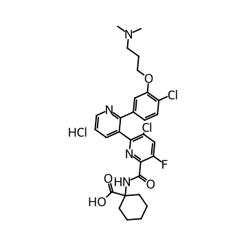 CN(C)CCCOc1cc(-c2ncccc2-c2nc(C(=O)NC3(C(=O)O)CCCCC3)c(F)cc2Cl)ccc1Cl.Cl